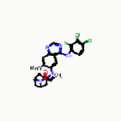 C=CC(=O)N1C2CC(Nc3cc4c(Nc5ccc(Cl)c(Cl)c5F)ncnc4cc3OC)CC1C2